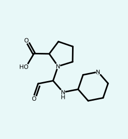 O=CC(NC1CCC[N]C1)N1CCCC1C(=O)O